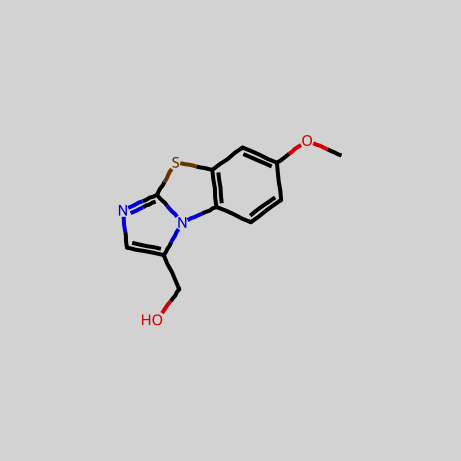 COc1ccc2c(c1)sc1ncc(CO)n12